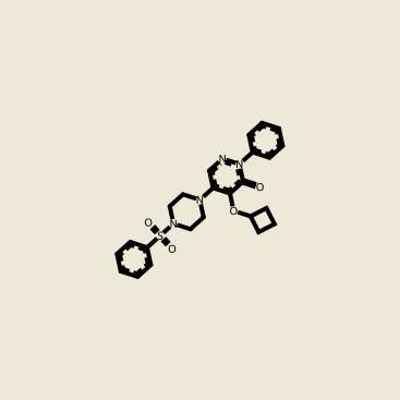 O=c1c(OC2CCC2)c(N2CCN(S(=O)(=O)c3ccccc3)CC2)cnn1-c1ccccc1